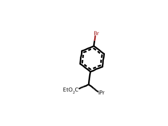 CCOC(=O)C(c1ccc(Br)cc1)C(C)C